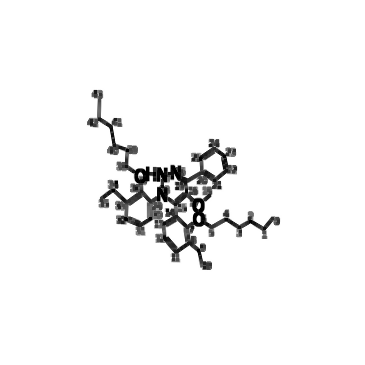 CCCCCCOc1c(CC)cccc1C1=C(OC)C(c2ccccc2)=NNN1c1cccc(CC)c1OCCCCCC